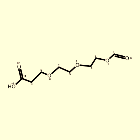 O=COCCOCCOCCC(=O)O